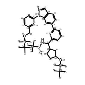 CC(C)(C)[S@@+]([O-])NC(c1cccc(-c2ccc3cnn(-c4cccc(CO[Si](C)(C)C(C)(C)C)n4)c3c2)n1)C1CCC(O[Si](C)(C)C(C)(C)C)C1